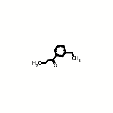 CCCC(=O)c1cccc(CC)c1